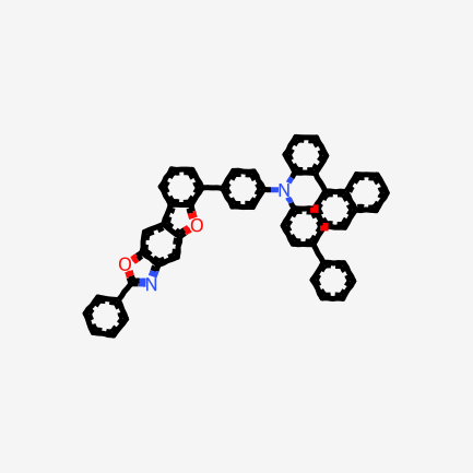 c1ccc(-c2ccc(N(c3ccc(-c4cccc5c4oc4cc6nc(-c7ccccc7)oc6cc45)cc3)c3ccccc3-c3cccc4ccccc34)cc2)cc1